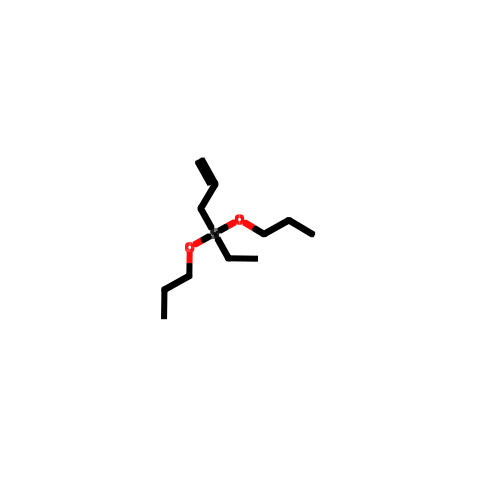 C=CC[Si](CC)(OCCC)OCCC